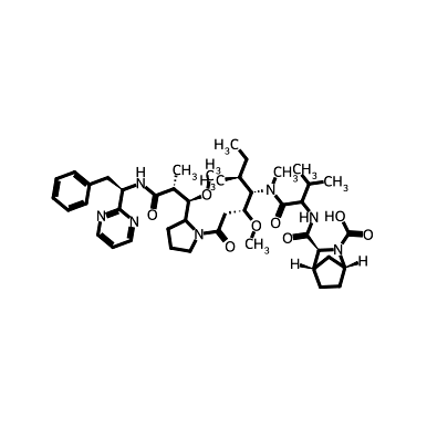 CC[C@H](C)[C@@H]([C@@H](CC(=O)N1CCCC1[C@H](OC)[C@@H](C)C(=O)N[C@H](Cc1ccccc1)c1ncccn1)OC)N(C)C(=O)C(NC(=O)[C@@H]1[C@H]2CC[C@H](C2)N1C(=O)O)C(C)C